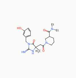 CCN(CC)C(=O)C1CCCN(C(=O)CC2(C)NC(=N)N(Cc3cccc(O)c3)C2=O)C1